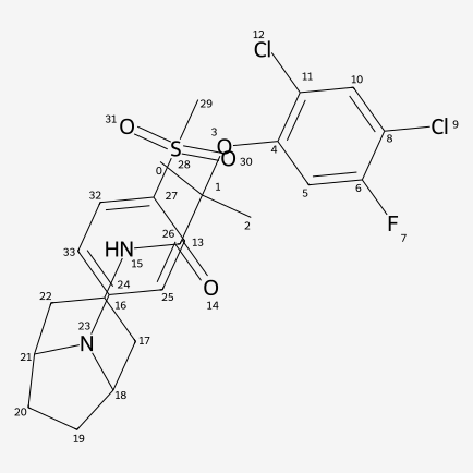 CC(C)(Oc1cc(F)c(Cl)cc1Cl)C(=O)NC1CC2CCC(C1)N2c1ccc(S(C)(=O)=O)cc1